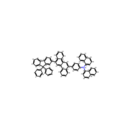 c1ccc(C2(c3ccccc3)c3ccccc3-c3ccc(-c4cc5c6ccccc6c(-c6ccc(N(c7cccc8ccccc78)c7cccc8ccccc78)cc6)cc5c5ccccc45)cc32)cc1